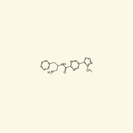 Cn1nccc1-c1cnc(C(=O)NC(CN)Cc2ccccc2)nc1